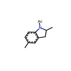 CC(=O)N1c2ccc(C)cc2CC1C